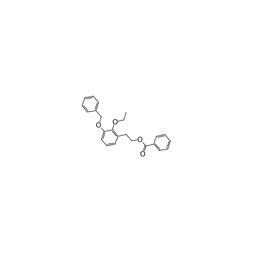 CCOc1c(CCOC(=O)c2ccccc2)cccc1OCc1ccccc1